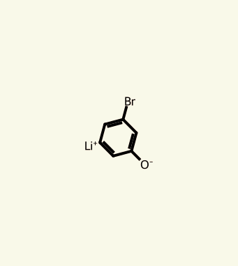 [Li+].[O-]c1cccc(Br)c1